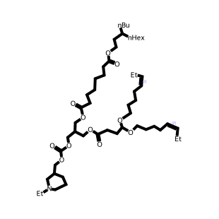 CC/C=C\CCCCOC(CCC(=O)OCC(COC(=O)CCCCCCC(=O)OCCC(CCCC)CCCCCC)COC(=O)OCC1CCCN(CC)C1)OCCCC/C=C\CC